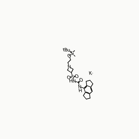 CC(C)(C)[Si](C)(C)OCCN1CC(S(=O)(=O)NC(=O)Nc2c3c(cc4c2CCC4)CCC3)C1.[K]